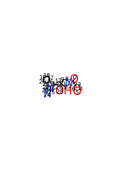 O=C(C1CCOC1)N1CCC2(CC1)C[C@@H]([C@H]1c3ccccc3-c3cncn31)[C@H]2O